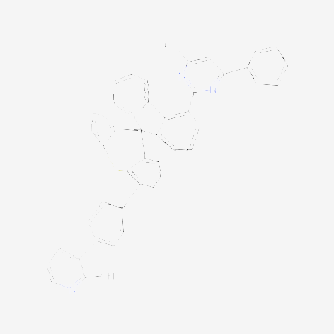 Cc1cc(-c2ccccc2)nc(-c2cccc3c2-c2ccccc2C32c3ccccc3Sc3c(-c4ccc(-c5cccnc5C)cc4)cccc32)n1